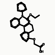 CCOC(=O)N(c1ccccc1)c1ccccc1C1=C(C)CCc2c(OCC(=O)O)cccc21